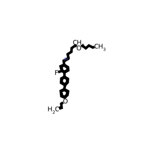 C=CCOc1ccc(-c2ccc(-c3ccc(/C=C/CCCC(C)OCCCCC)cc3F)cc2)cc1